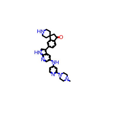 CN1CCN(c2cc(Nc3cnc4[nH]cc(-c5ccc6c(c5)C5(CCNCC5)CC6=O)c4c3)ccn2)CC1